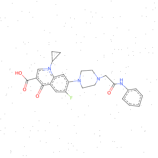 O=C(CN1CCN(c2cc3c(cc2F)c(=O)c(C(=O)O)cn3C2CC2)CC1)Nc1ccccc1